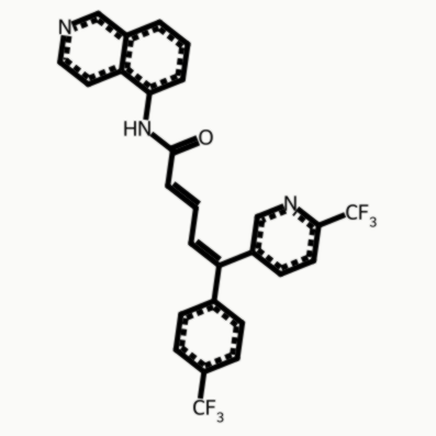 O=C(C=CC=C(c1ccc(C(F)(F)F)cc1)c1ccc(C(F)(F)F)nc1)Nc1cccc2cnccc12